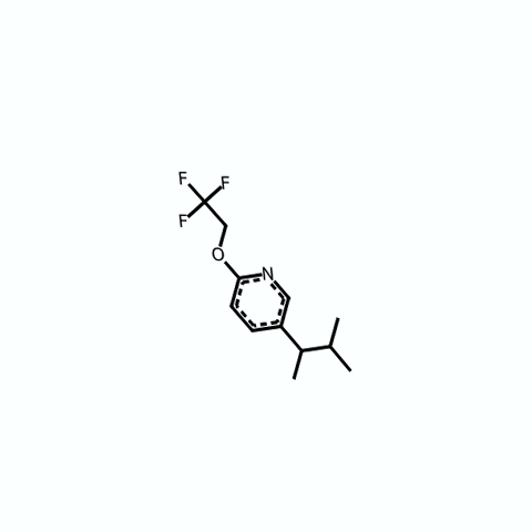 CC(C)C(C)c1ccc(OCC(F)(F)F)nc1